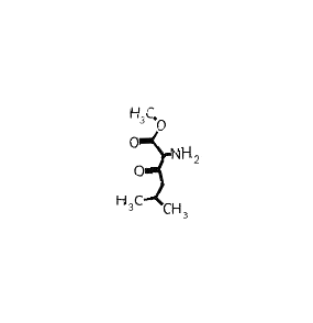 COC(=O)C(N)C(=O)CC(C)C